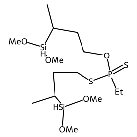 CCP(=S)(OCCC(C)[SiH](OC)OC)SCCC(C)[SiH](OC)OC